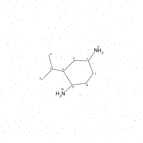 CC(C)C1CC(N)CCC1N